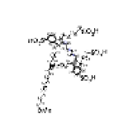 COCCOCCOCCOCCOCCOCCC1(C)\C(=C/C=C/C=C/C2=[N+](CCOC)c3ccc(S(=O)(=O)O)cc3C2(C)CCCS(=O)(=O)O)N(CCCCCC(=O)O)c2ccc(S(=O)(=O)O)cc21